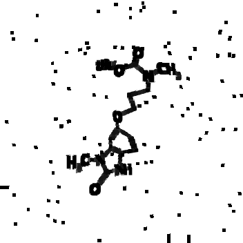 CN(CCCOc1ccc2[nH]c(=O)n(C)c2c1)C(=O)OC(C)(C)C